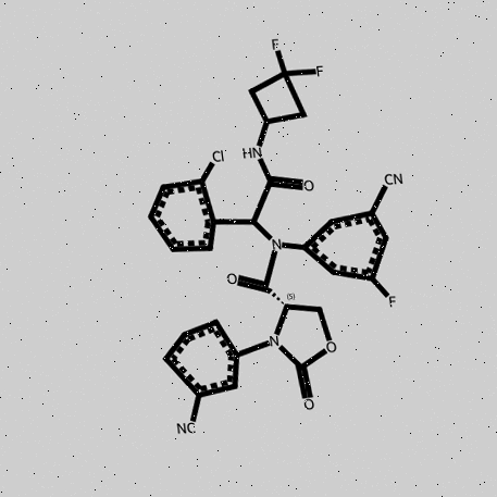 N#Cc1cc(F)cc(N(C(=O)[C@@H]2COC(=O)N2c2cccc(C#N)c2)C(C(=O)NC2CC(F)(F)C2)c2ccccc2Cl)c1